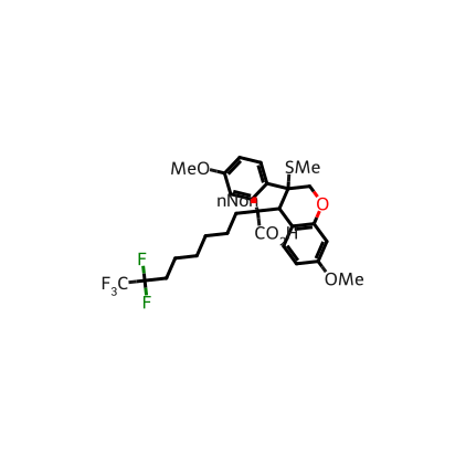 CCCCCCCCCC(CCCCCCC(F)(F)C(F)(F)F)(C(=O)O)C1c2ccc(OC)cc2OCC1(SC)c1ccc(OC)cc1